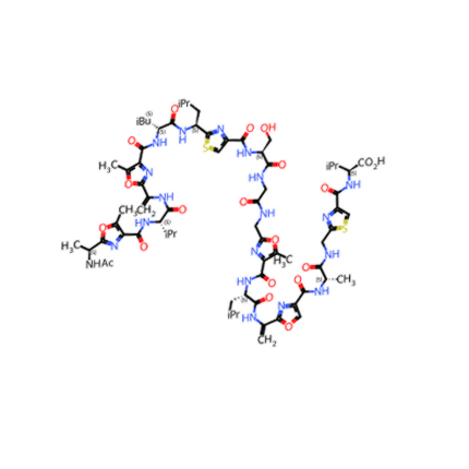 C=C(NC(=O)[C@H](CC(C)C)NC(=O)c1nc(CNC(=O)CNC(=O)[C@H](CO)NC(=O)c2csc([C@H](CC(C)C)NC(=O)[C@@H](NC(=O)c3nc(C(=C)NC(=O)[C@@H](NC(=O)c4nc([C@H](C)NC(C)=O)oc4C)C(C)C)oc3C)[C@@H](C)CC)n2)oc1C)c1nc(C(=O)N[C@@H](C)C(=O)NCc2nc(C(=O)N[C@H](C(=O)O)C(C)C)cs2)co1